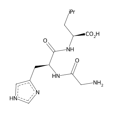 CC(C)C[C@H](NC(=O)[C@H](Cc1c[nH]cn1)NC(=O)CN)C(=O)O